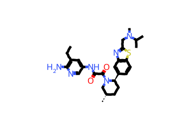 CCc1cc(NC(=O)C(=O)N2C[C@@H](C)CC[C@@H]2c2ccc3sc(CN(C)C(C)C)nc3c2)cnc1N